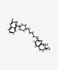 Cc1cc2ccccc2c(N2CCN(CCCCOc3ccc4c(n3)NC(=O)CC4)CC2)n1